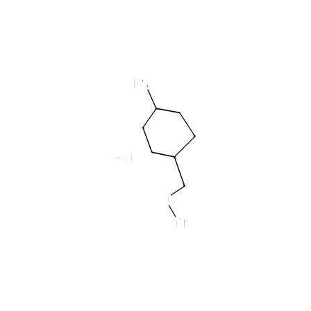 COCC1CCC(N)CC1.Cl